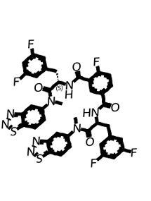 CN(C(=O)C(Cc1cc(F)cc(F)c1)NC(=O)c1ccc(F)c(C(=O)N[C@@H](Cc2cc(F)cc(F)c2)C(=O)N(C)c2ccc3snnc3c2)c1)c1ccc2snnc2c1